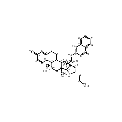 CCC[C@H]1O[C@@H]2CC3C4CCC5=CC(=O)C=CC5(C)C4[C@@H](O)CC3(C)[C@]2(C(=O)CSc2cnc3ccccc3n2)O1